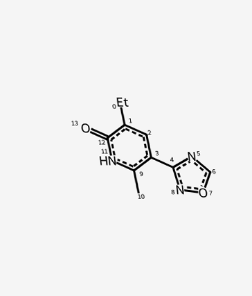 CCc1cc(-c2ncon2)c(C)[nH]c1=O